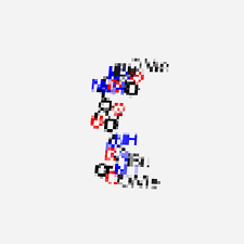 CC[C@H](C)N(Cc1ncc(-c2cc3c4c(c2)OCc2cc(-c5cnc(CN(C(=O)[C@H](NC(=O)OC)c6ccccc6)[C@@H](C)CC)[nH]5)cc(c2-4)OC3)[nH]1)C(=O)[C@H](NC(=O)OC)c1ccccc1